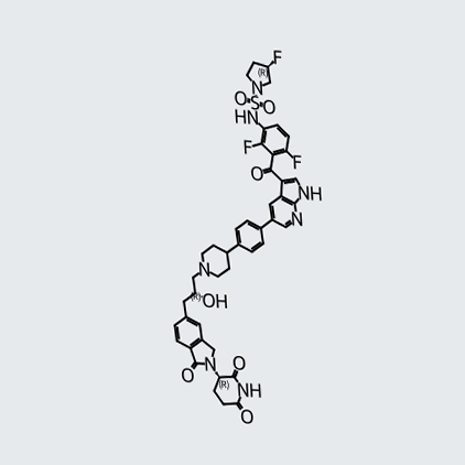 O=C1CC[C@@H](N2Cc3cc(C[C@@H](O)CN4CCC(c5ccc(-c6cnc7[nH]cc(C(=O)c8c(F)ccc(NS(=O)(=O)N9CC[C@@H](F)C9)c8F)c7c6)cc5)CC4)ccc3C2=O)C(=O)N1